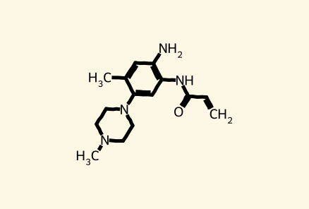 C=CC(=O)Nc1cc(N2CCN(C)CC2)c(C)cc1N